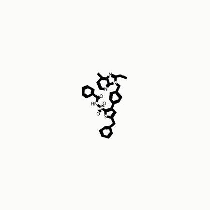 CCc1nc2c(C)ccnc2n1Cc1ccc(-c2cc(Cc3ccccc3)sc2S(=O)(=O)NC(=O)c2ccccc2)cc1